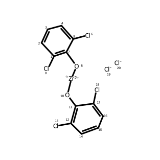 Clc1cccc(Cl)c1[O][Zr+2][O]c1c(Cl)cccc1Cl.[Cl-].[Cl-]